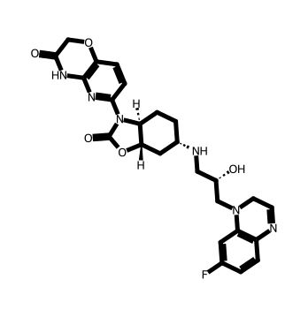 O=C1COc2ccc(N3C(=O)O[C@H]4C[C@@H](NC[C@H](O)CN5CC=Nc6ccc(F)cc65)CC[C@@H]43)nc2N1